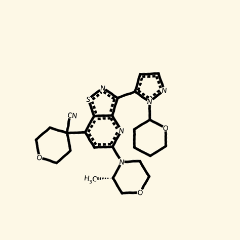 C[C@H]1COCCN1c1cc(C2(C#N)CCOCC2)c2snc(-c3ccnn3C3CCCCO3)c2n1